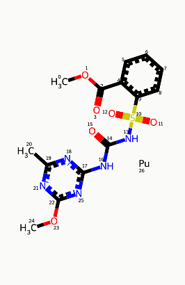 COC(=O)c1ccccc1S(=O)(=O)NC(=O)Nc1nc(C)nc(OC)n1.[Pu]